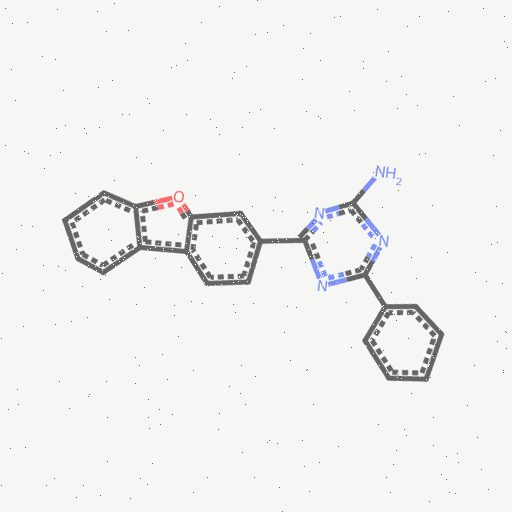 Nc1nc(-c2ccccc2)nc(-c2ccc3c(c2)oc2ccccc23)n1